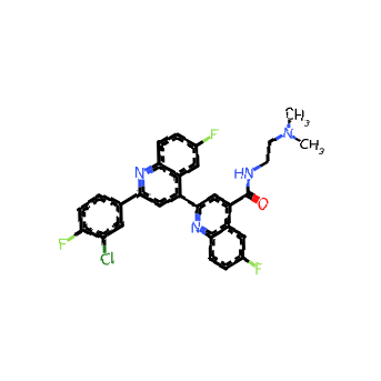 CN(C)CCNC(=O)c1cc(-c2cc(-c3ccc(F)c(Cl)c3)nc3ccc(F)cc23)nc2ccc(F)cc12